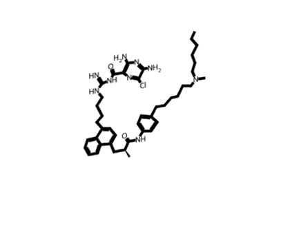 CCCCCCN(C)CCCCCCc1ccc(NC(=O)[C@@H](C)Cc2ccc(CCCCNC(=N)NC(=O)c3nc(Cl)c(N)nc3N)c3ccccc23)cc1